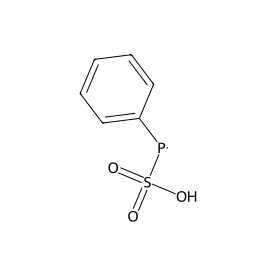 O=S(=O)(O)[P]c1ccccc1